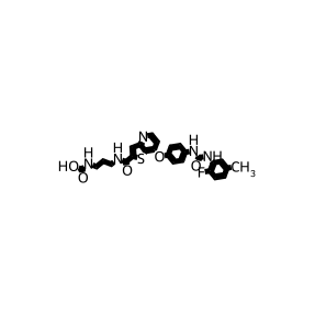 Cc1ccc(F)c(NC(=O)Nc2ccc(Oc3ccnc4cc(C(=O)NCCCNC(=O)O)sc34)cc2)c1